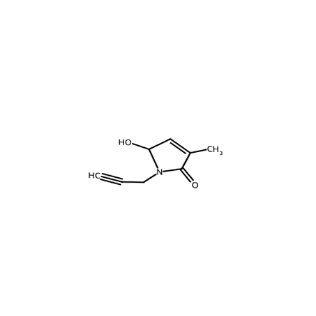 C#CCN1C(=O)C(C)=CC1O